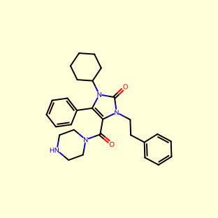 O=C(c1c(-c2ccccc2)n(C2CCCCC2)c(=O)n1CCc1ccccc1)N1CCNCC1